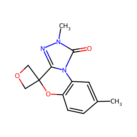 Cc1ccc2c(c1)-n1c(nn(C)c1=O)C1(COC1)O2